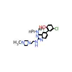 CCCN(CCC)c1nc(NCCN2CCN(C)CC2)nc2ccc(-c3cc(Cl)ccc3O)cc12